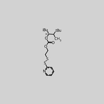 CCC(C)[C@H](OC(=O)OCCSSc1ccccn1)C(C)C(C)(C)C